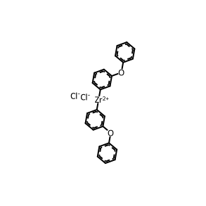 [Cl-].[Cl-].c1ccc(Oc2ccc[c]([Zr+2][c]3cccc(Oc4ccccc4)c3)c2)cc1